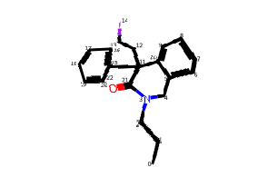 CCCN1Cc2ccccc2C(CCI)(c2ccccc2)C1=O